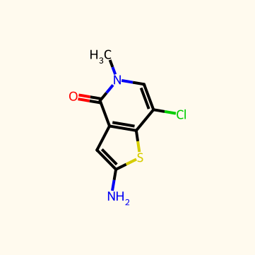 Cn1cc(Cl)c2sc(N)cc2c1=O